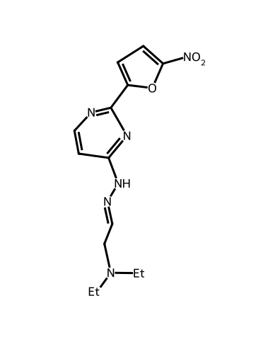 CCN(CC)CC=NNc1ccnc(-c2ccc([N+](=O)[O-])o2)n1